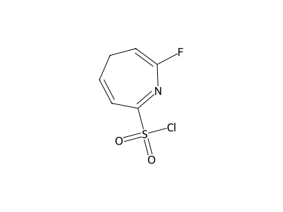 O=S(=O)(Cl)C1=NC(F)=CCC=C1